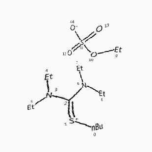 CCCC[S+]=C(N(CC)CC)N(CC)CC.CCOS(=O)(=O)[O-]